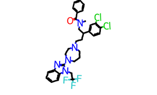 CN(CC(CCN1CCCN(c2nc3ccccc3n2CC(F)(F)F)CC1)c1ccc(Cl)c(Cl)c1)C(=O)c1ccccc1